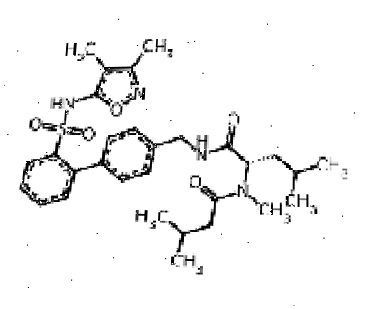 Cc1noc(NS(=O)(=O)c2ccccc2-c2ccc(CNC(=O)[C@H](CC(C)C)N(C)C(=O)CC(C)C)cc2)c1C